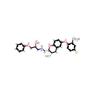 Cl.O=C(O)c1cc(F)ccc1Oc1ccc2c(c1)CC[C@H](CNC[C@H](O)COc1ccccc1)O2